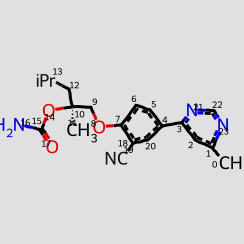 Cc1cc(-c2ccc(OC[C@](C)(CC(C)C)OC(N)=O)c(C#N)c2)ncn1